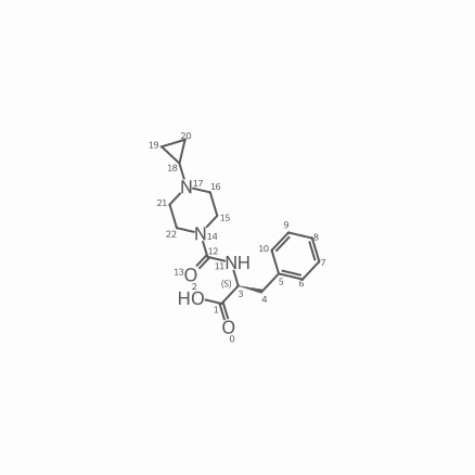 O=C(O)[C@H](Cc1ccccc1)NC(=O)N1CCN(C2CC2)CC1